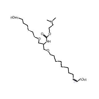 CCCCCCCC/C=C\CCCCCCCCOCC(COCCCCCCCCCCCCCCCC)NC(=O)OCCN(C)C